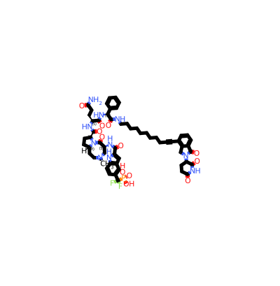 CN1CC[C@H]2CC[C@@H](C(=O)N[C@@H](CCC(N)=O)C(=O)N[C@H](C(=O)NCCCCCCCCCC#Cc3cccc4c3CN(C3CCC(=O)NC3=O)C4=O)c3ccccc3)N2C(=O)[C@@H](NC(=O)c2cc3cc(C(F)(F)P(=O)(O)O)ccc3[nH]2)C1